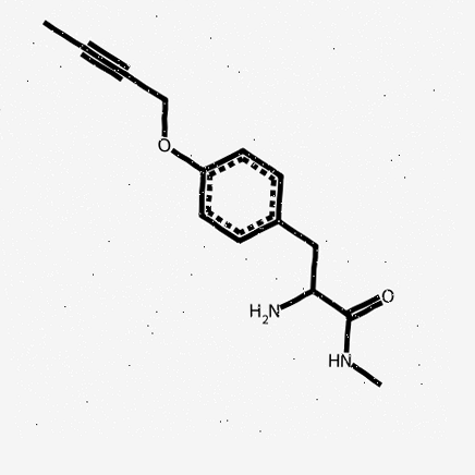 CC#CCOc1ccc(CC(N)C(=O)NC)cc1